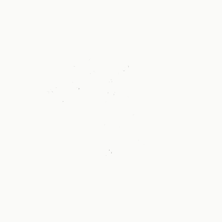 NC(=O)C1CCN(C(=O)C23CC4CC(CC2C4)C3)CC1